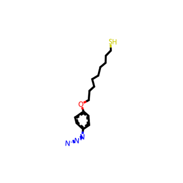 [N-]=[N+]=Nc1ccc(OCCCCCCCCCS)cc1